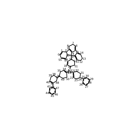 C1=CC2C3=C(C=CCC3)C(C3=CCCC=C3)(C3C=CC(N(C4=CCC(c5ccccc5)CC4)C4=CCC(C5CCC=C(c6ccccc6)C5)CC4)CC3)C2C=C1